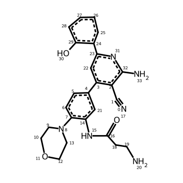 N#Cc1c(-c2ccc(N3CCOCC3)c(NC(=O)CCN)c2)cc(-c2ccccc2O)nc1N